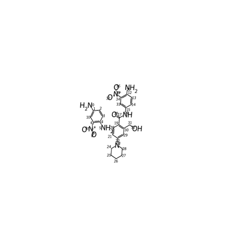 Nc1ccc(N)c([N+](=O)[O-])c1.Nc1ccc(NC(=O)c2ccc(N3CCCCC3)cc2CO)cc1[N+](=O)[O-]